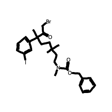 CN(CCC(C)(C)CCC(C)(C(=O)CBr)c1cccc(I)c1)C(=O)OCc1ccccc1